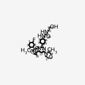 Cc1ccc(F)cc1S(=O)(=O)C1(c2cc(N3CCOC[C@@H]3C)nc(-c3ccc(NC(=O)NCCO)cc3)n2)CC1